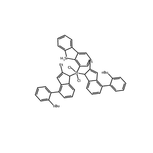 CCCCc1ccccc1-c1cccc2c1C=C(CC)[CH]2[Zr]([Cl])([Cl])([c]1cccc2c1[SiH2]c1ccccc1-2)[CH]1C(CC)=Cc2c(-c3ccccc3CCCC)cccc21